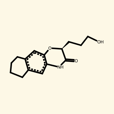 O=C1Nc2cc3c(cc2O[C@H]1CCCO)CCCC3